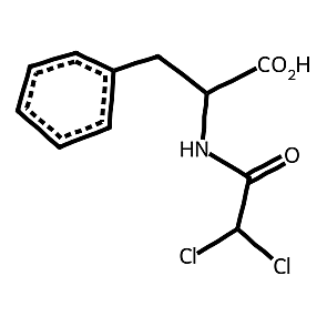 O=C(NC(Cc1ccccc1)C(=O)O)C(Cl)Cl